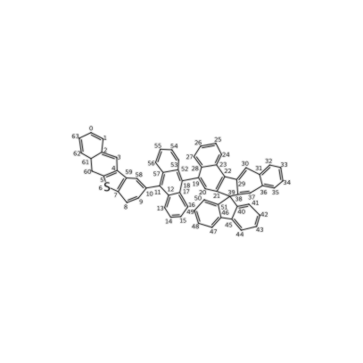 C1=CC2=Cc3c(sc4ccc(-c5c6ccccc6c(-c6cc7c(c8ccccc68)-c6cc8ccccc8cc6C76c7ccccc7-c7ccccc76)c6ccccc56)cc34)CC2C=C1